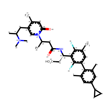 Cc1cc(C2CC2)cc(C)c1-c1cc(C(F)(F)F)c(F)c([C@H](CC(=O)O)NC(=O)CC(C(C)C)n2cc(CC(C)N(C)C)c(C(F)(F)F)cc2=O)c1F